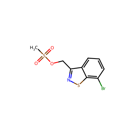 CS(=O)(=O)OCc1nsc2c(Br)cccc12